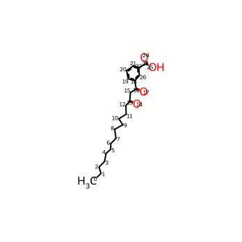 CCCCCCCCCCCCCC(=O)CC(=O)c1cccc(C(=O)O)c1